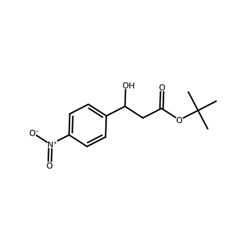 CC(C)(C)OC(=O)CC(O)c1ccc([N+](=O)[O-])cc1